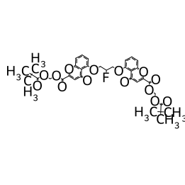 CC(C)(C)C(=O)OCOC(=O)c1cc(=O)c2c(OCC(F)COc3cccc4oc(C(=O)OCOC(=O)C(C)(C)C)cc(=O)c34)cccc2o1